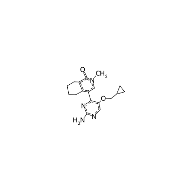 Cn1cc(-c2nc(N)ncc2OCC2CC2)c2c(c1=O)CCCC2